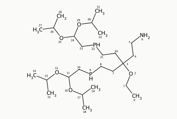 CCOC(CCN)(CCPCC(OC(C)C)OC(C)C)CCPCC(OC(C)C)OC(C)C